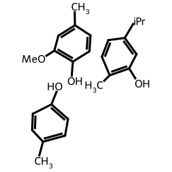 COc1cc(C)ccc1O.Cc1ccc(C(C)C)cc1O.Cc1ccc(O)cc1